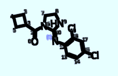 O=C(C1CCC1)N1CCN/C1=N\c1ccc(Cl)cc1Cl